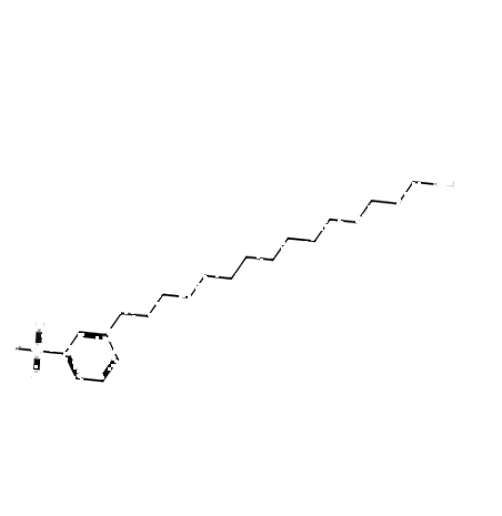 CCCCCCCCCCCCCCCCc1cccc(S(=O)(=O)[O-])c1.[K+]